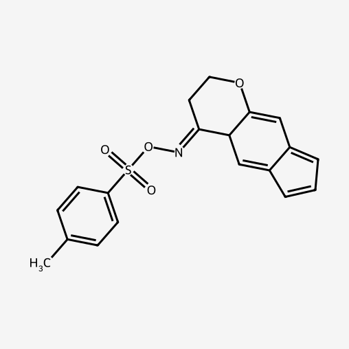 Cc1ccc(S(=O)(=O)ON=C2CCOC3=CC4=CC=CC4=CC32)cc1